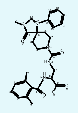 Cc1cccc(C)c1C(=O)NC(CNC(=O)N1CCC2(CC1)C(=O)N(C)CN2c1ccccc1)C(=O)O